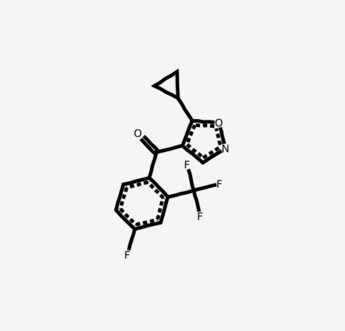 O=C(c1ccc(F)cc1C(F)(F)F)c1cnoc1C1CC1